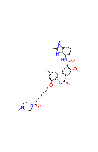 COc1cc(C(=O)N(C)c2ccc(C)cc2OCCCCCC(=O)N2CCN(C)CC2)ccc1C(=O)Nc1cccc2c1nc(C)n2C